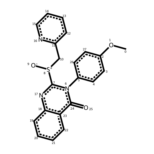 COc1ccc(-n2c([S+]([O-])Cc3ccccn3)nc3ccccc3c2=O)cc1